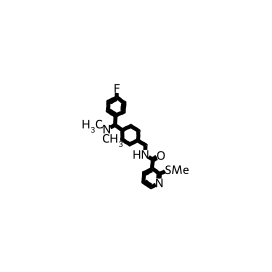 CSc1ncccc1C(=O)NCC1CCC(C(c2ccc(F)cc2)N(C)C)CC1